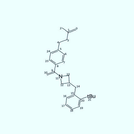 C=C(C)CCc1ccc(C(=C)N2CC(Cc3ccccc3C(C)(C)C)C2)cc1